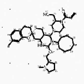 C=CC(=O)N1CCN(C2C3CC[C@]4(CCc5ccc(C)cc5O4)CC3NC(OCC3CCCN3C)N2C2CCCCCCC2)CC1CC#N